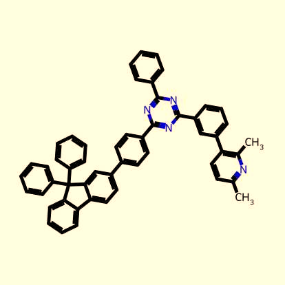 Cc1ccc(-c2cccc(-c3nc(-c4ccccc4)nc(-c4ccc(-c5ccc6c(c5)C(c5ccccc5)(c5ccccc5)c5ccccc5-6)cc4)n3)c2)c(C)n1